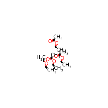 CCOC(C)=O.CCOC(C)=O.CCOC(C)=O.CCOCC